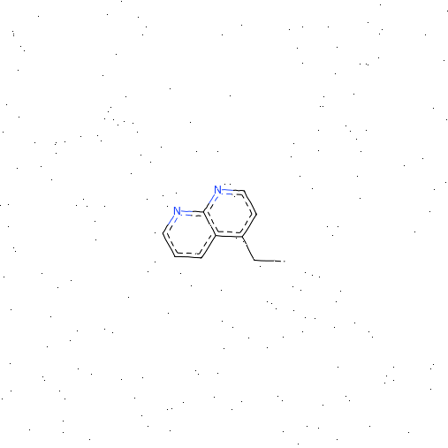 [CH2]Cc1ccnc2ncccc12